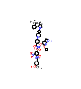 CC(C)c1ccccc1[C@@H]1CCCN1C1CC2(CCN(c3ccc(C(=O)NS(=O)(=O)c4cc5c(c([N+](=O)[O-])c4)N[C@@H]([C@H]4CC[C@](C)(O)CC4)CO5)c(Oc4cc5cc[nH]c5nc4OC4CCC4)c3)CC2)C1